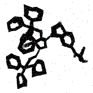 CC(C)C(=O)Nc1ncc2ncn([C@@H]3O[C@H](COC(c4ccccc4)(c4ccccc4)c4ccccc4)[C@@H](O)[C@H]3OC(c3ccccc3)(c3ccccc3)c3ccccc3)c2n1